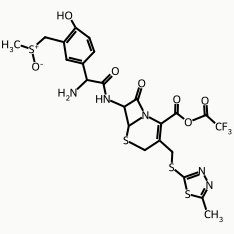 Cc1nnc(SCC2=C(C(=O)OC(=O)C(F)(F)F)N3C(=O)C(NC(=O)C(N)c4ccc(O)c(C[S+](C)[O-])c4)C3SC2)s1